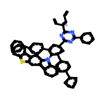 C=C/C=C(\C=C)c1nc(-c2ccccc2)nc(-c2cc(-c3ccc(-c4ccccc4)cc3)c(-n3c4ccccc4c4cc5sc6ccccc6c5cc43)c(-c3ccc(-c4ccccc4)cc3)c2)n1